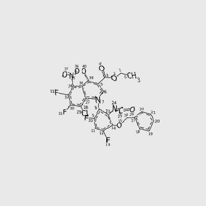 CCOC(=O)c1cn(-c2c(F)cc(F)c(OCc3ccccc3)c2N=C=O)c2c(Cl)c(F)c(F)c([N+](=O)[O-])c2c1=O